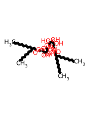 CCCCCCCCCC(CCCCCCCCC)CC(=O)OC[C@H]1O[C@H](O[C@H]2O[C@H](COC(=O)CC(CCCCCCCCC)CCCCCCCCC)[C@@H](O)[C@H](O)[C@H]2O)[C@H](O)[C@@H](O)[C@@H]1O